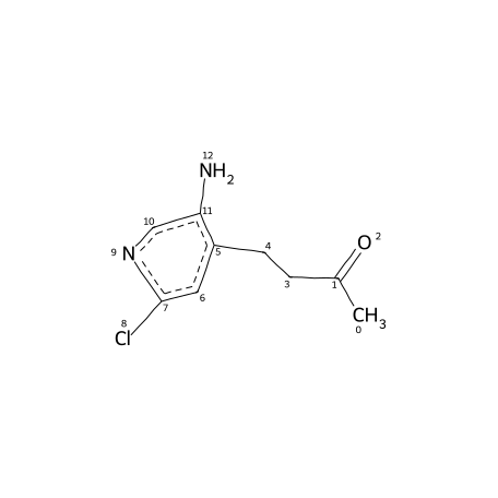 CC(=O)CCc1cc(Cl)ncc1N